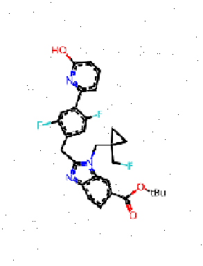 CC(C)(C)OC(=O)c1ccc2nc(Cc3cc(F)c(-c4cccc(O)n4)cc3F)n(CC3(CF)CC3)c2c1